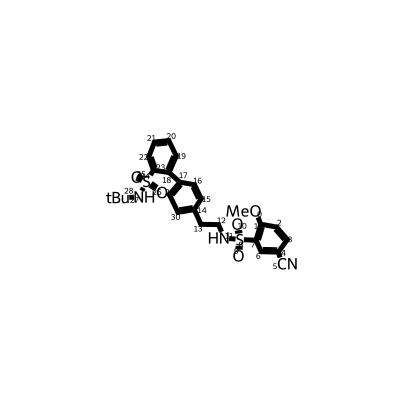 COc1ccc(C#N)cc1S(=O)(=O)NCCc1ccc(-c2ccccc2S(=O)(=O)NC(C)(C)C)cc1